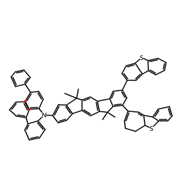 CC1(C)c2cc(N(c3ccc(-c4ccccc4)cc3)c3ccccc3-c3ccccc3)ccc2-c2cc3c(cc21)-c1cc(-c2ccc4sc5ccccc5c4c2)cc(C2=CCCC4Sc5ccccc5C4=C2)c1C3(C)C